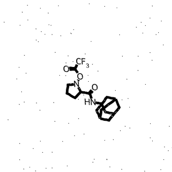 O=C(NC12CC3CC(CC(C3)C1)C2)C1CCCN1OC(=O)C(F)(F)F